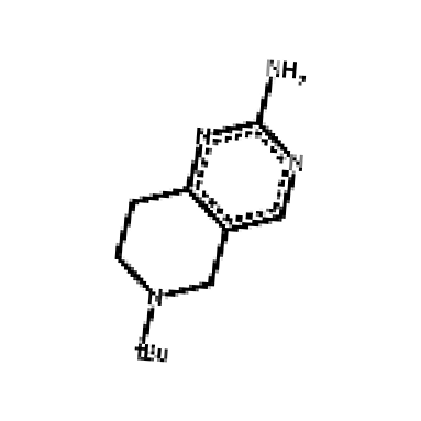 CC(C)(C)N1CCc2nc(N)ncc2C1